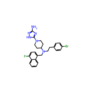 Nc1n[nH]c(N2CCC(N(CCc3ccc(Br)cc3)Cc3ccc(F)c4ccccc34)CC2)n1